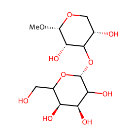 CO[C@@H]1OC[C@H](O)C(O[C@H]2OC(CO)[C@H](O)[C@H](O)C2O)[C@@H]1O